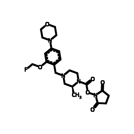 C[C@H]1CN(Cc2ccc(N3CCOCC3)cc2OCF)CCN1C(=O)ON1C(=O)CCC1=O